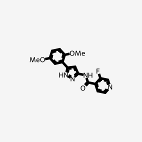 COc1ccc(OC)c(-c2cc(NC(=O)c3ccncc3F)n[nH]2)c1